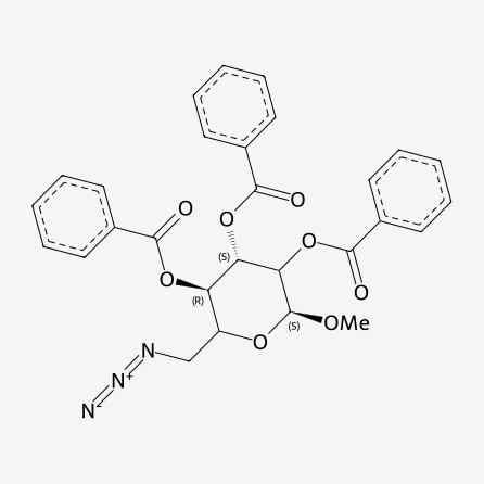 CO[C@H]1OC(CN=[N+]=[N-])[C@@H](OC(=O)c2ccccc2)[C@H](OC(=O)c2ccccc2)C1OC(=O)c1ccccc1